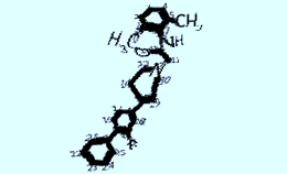 Cc1cccc(C)c1NC(=O)CN1CCC(c2ccc(-c3ccccc3)c(F)c2)CC1